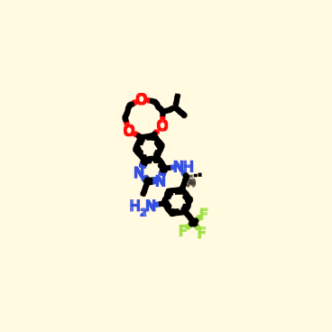 Cc1nc(N[C@H](C)c2cc(N)cc(C(F)(F)F)c2)c2cc3c(cc2n1)OCCOCC(C(C)C)O3